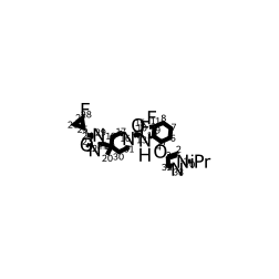 CC(C)n1cc(O[C@H]2CCCC(F)(F)[C@@H]2NC(=O)N2CCC(C)(c3noc([C@@H]4C[C@@H]4F)n3)CC2)cn1